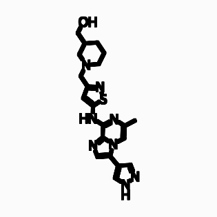 Cc1cn2c(-c3cn[nH]c3)cnc2c(Nc2cc(CN3CCCC(CO)C3)ns2)n1